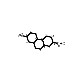 CCCC1CCC2C(CCC3CC(C=O)CCC32)C1